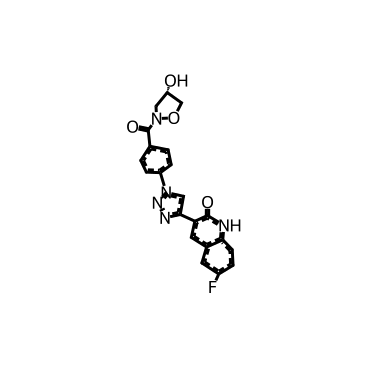 O=C(c1ccc(-n2cc(-c3cc4cc(F)ccc4[nH]c3=O)nn2)cc1)N1C[C@H](O)CO1